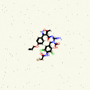 C=CCOc1ccc(-c2noc(C)c2C(=O)N=C(N)N(Cc2cc(Cl)c(NC(=O)CBr)c(Cl)c2)C(=O)O)cc1